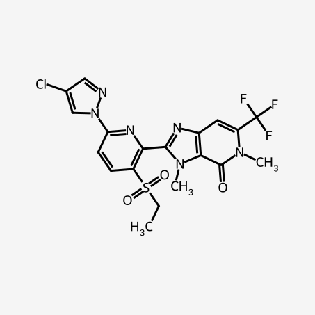 CCS(=O)(=O)c1ccc(-n2cc(Cl)cn2)nc1-c1nc2cc(C(F)(F)F)n(C)c(=O)c2n1C